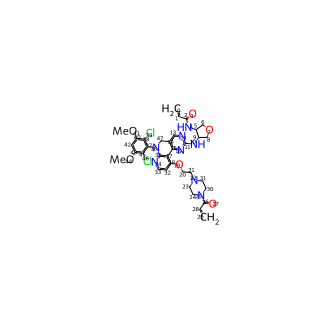 C=CC(=O)NC1COCC1Nc1ncc2c(n1)-c1c(OCCN3CCN(C(=O)C=C)CC3)ccnc1N(c1c(Cl)c(OC)cc(OC)c1Cl)C2